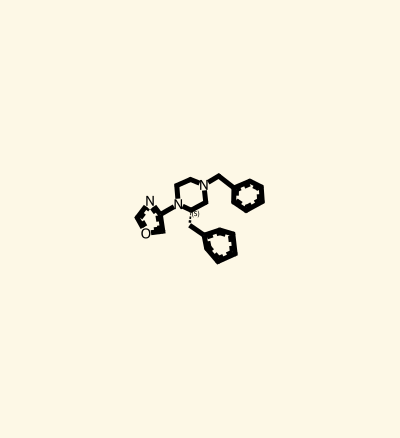 c1ccc(C[C@H]2CN(Cc3ccccc3)CCN2c2cocn2)cc1